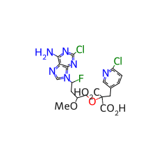 COC(COC(Cc1ccc(Cl)nc1)(C(=O)O)C(=O)O)CC(F)n1cnc2c(N)nc(Cl)nc21